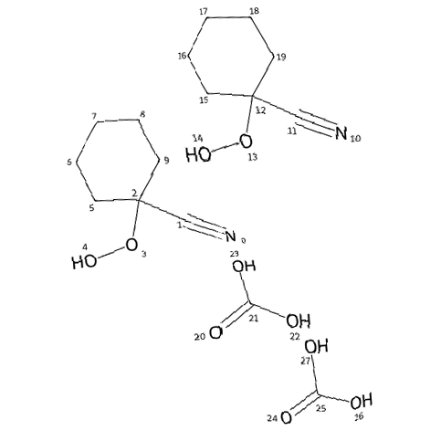 N#CC1(OO)CCCCC1.N#CC1(OO)CCCCC1.O=C(O)O.O=C(O)O